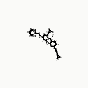 C[C@H](c1ccc(C#CC2CC2)cc1)n1c(C2CC2)cc(OCc2ncccn2)cc1=O